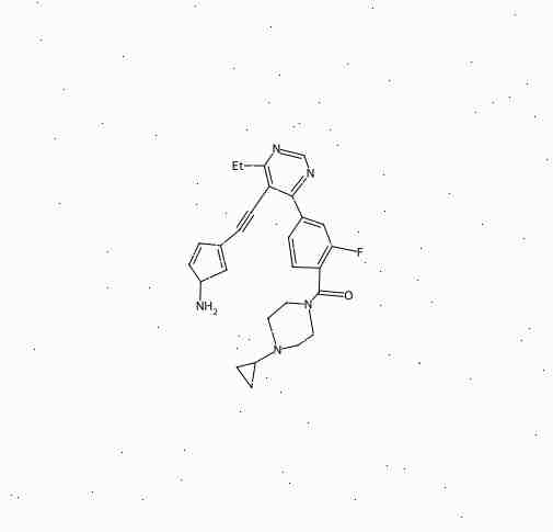 CCc1ncnc(-c2ccc(C(=O)N3CCN(C4CC4)CC3)c(F)c2)c1C#CC1=CC(N)C=C1